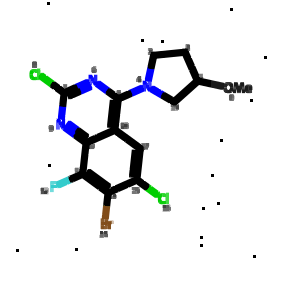 COC1CCN(c2nc(Cl)nc3c(F)c(Br)c(Cl)cc23)C1